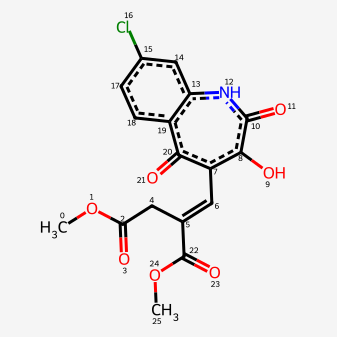 COC(=O)CC(=Cc1c(O)c(=O)[nH]c2cc(Cl)ccc2c1=O)C(=O)OC